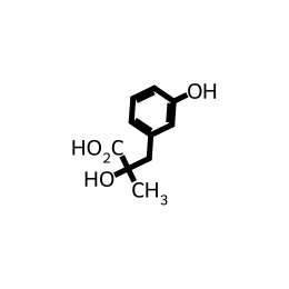 CC(O)(Cc1cccc(O)c1)C(=O)O